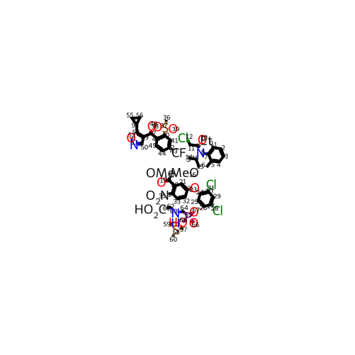 CCc1cccc(C)c1N(C(=O)CCl)C(C)COC.COC(=O)c1cc(Oc2ccc(Cl)cc2Cl)ccc1[N+](=O)[O-].CS(=O)(=O)c1cc(C(F)(F)F)ccc1C(=O)c1cnoc1C1CC1.C[S+](C)C.O=C(O)CNCP(=O)([O-])O